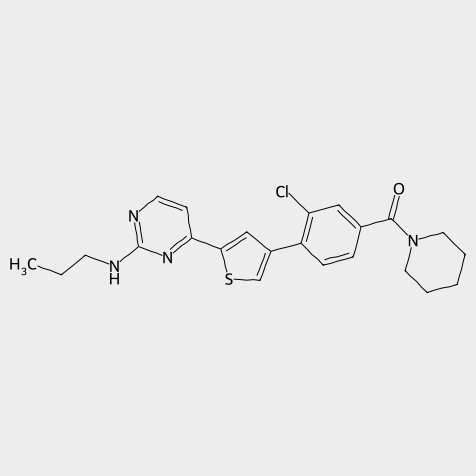 CCCNc1nccc(-c2cc(-c3ccc(C(=O)N4CCCCC4)cc3Cl)cs2)n1